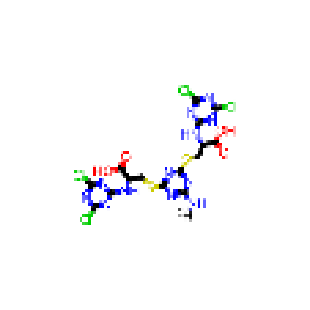 [2H]Nc1nc(SCC(Nc2nc(Cl)nc(Cl)n2)C(=O)O)nc(SCC(Nc2nc(Cl)nc(Cl)n2)C(=O)O)n1